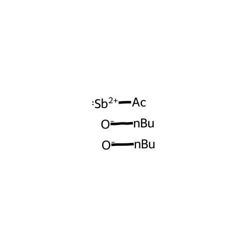 CCCC[O-].CCCC[O-].C[C](=O)[Sb+2]